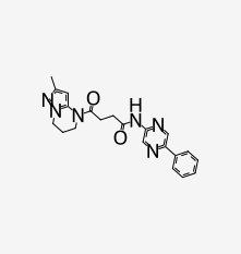 Cc1cc2n(n1)CCCN2C(=O)CCC(=O)Nc1cnc(-c2ccccc2)cn1